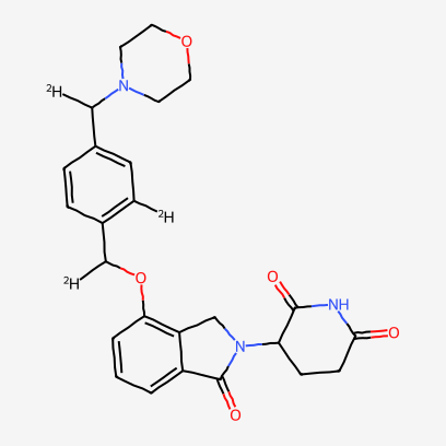 [2H]c1cc(C([2H])N2CCOCC2)ccc1C([2H])Oc1cccc2c1CN(C1CCC(=O)NC1=O)C2=O